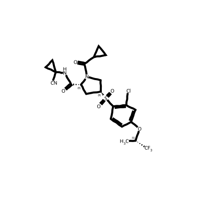 C[C@H](Oc1ccc(S(=O)(=O)[C@@H]2C[C@H](C(=O)NC3(C#N)CC3)N(C(=O)C3CC3)C2)c(Cl)c1)C(F)(F)F